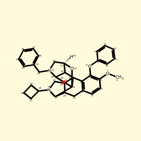 COc1ccc2c(c1Oc1ccccc1)C13C4CN(C5CCC5)C(C4C2)C12CCC1C3[C@@H](CN1Cc1ccccc1)O2